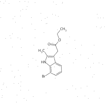 CCOC(=O)Cc1c(C)[nH]c2c(Br)cccc12